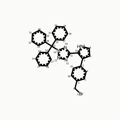 BrCc1ccc(-c2cc[nH]c2-c2nnn(C(c3ccccc3)(c3ccccc3)c3ccccc3)n2)cc1